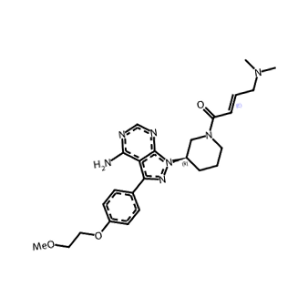 COCCOc1ccc(-c2nn([C@@H]3CCCN(C(=O)/C=C/CN(C)C)C3)c3ncnc(N)c23)cc1